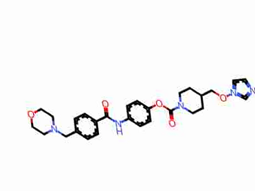 O=C(Nc1ccc(OC(=O)N2CCC(COn3ccnc3)CC2)cc1)c1ccc(CN2CCOCC2)cc1